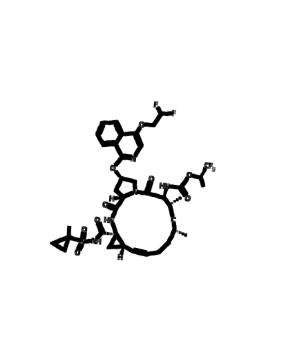 C[C@@H]1CC/C=C\[C@@H]2C[C@@]2(C(=O)NS(=O)(=O)C2(C)CC2)NC(=O)[C@@H]2C[C@@H](Oc3ncc(OCC(F)F)c4ccccc34)CN2C(=O)[C@@H](NC(=O)O[C@H](C)C(F)(F)F)[C@H](C)C1